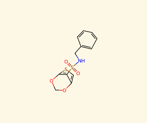 O=S(=O)(NCc1ccccc1)c1c2csc1OCO2